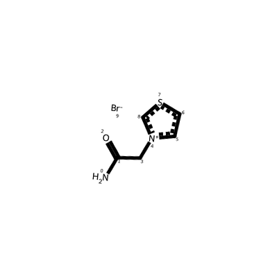 NC(=O)C[n+]1ccsc1.[Br-]